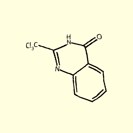 O=c1[nH]c(C(Cl)(Cl)Cl)nc2ccccc12